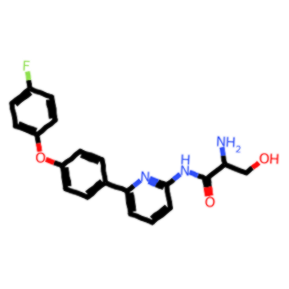 NC(CO)C(=O)Nc1cccc(-c2ccc(Oc3ccc(F)cc3)cc2)n1